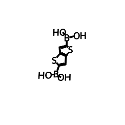 OB(O)c1cc2sc(B(O)O)cc2s1